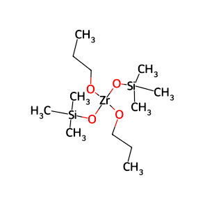 CCC[O][Zr]([O]CCC)([O][Si](C)(C)C)[O][Si](C)(C)C